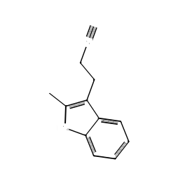 [C-]#[N+]CCc1c(C)[nH]c2ccccc12